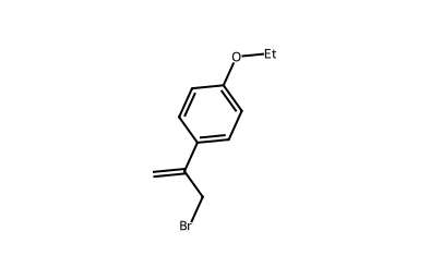 C=C(CBr)c1ccc(OCC)cc1